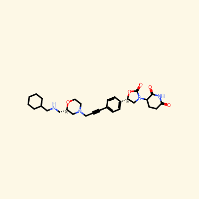 O=C1CCC(N2C[C@H](c3ccc(C#CCN4CCO[C@@H](CNCC5CCCCC5)C4)cc3)OC2=O)C(=O)N1